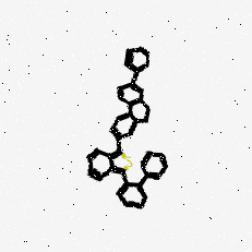 c1ccc(-c2ccc3c(ccc4cc(-c5sc(-c6ccccc6-c6ccccc6)c6ccccc56)ccc43)c2)cc1